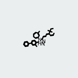 C\C=C/C(=C\C=C\C(=N\NC)N(Cc1ccc(-c2ccccc2)cc1C)C1=CCC=CC(C)=C1)C(C)(C)CC